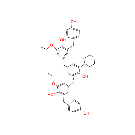 CCOc1cc(Cc2cc(Cc3cc(Cc4ccc(O)cc4)c(O)c(OCC)c3)c(O)c(C3CCCCC3)c2)cc(Cc2ccc(O)cc2)c1O